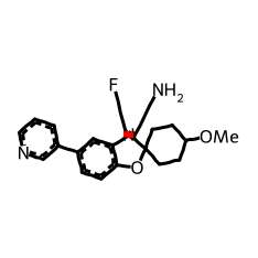 COC1CCC2(CC1)Oc1ccc(-c3cccnc3)cc1C21C=C(F)C(N)=N1